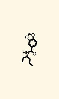 CCCC(CC)NC(=O)c1ccc2c(c1)OCO2